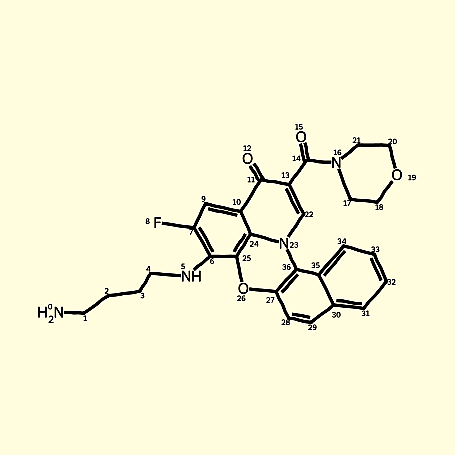 NCCCCNc1c(F)cc2c(=O)c(C(=O)N3CCOCC3)cn3c2c1Oc1ccc2ccccc2c1-3